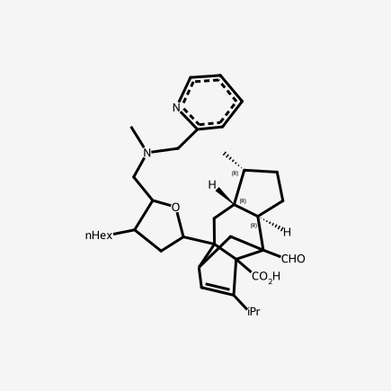 CCCCCCC1CC(C23C[C@@H]4[C@H](C)CC[C@H]4C4(C=O)CC2C=C(C(C)C)C34C(=O)O)OC1CN(C)Cc1ccccn1